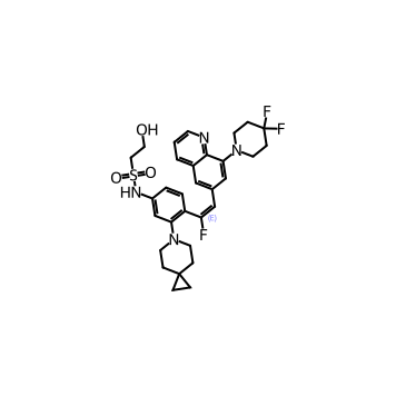 O=S(=O)(CCO)Nc1ccc(/C(F)=C\c2cc(N3CCC(F)(F)CC3)c3ncccc3c2)c(N2CCC3(CC2)CC3)c1